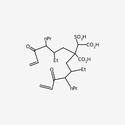 C=CC(=O)C(CCC)C(CC)CC(CC(CC)C(CCC)C(=O)C=C)(C(=O)O)C(C(=O)O)S(=O)(=O)O